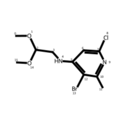 COC(CNc1cc(Cl)nc(C)c1Br)OC